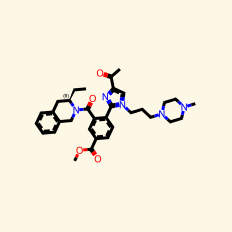 CC[C@@H]1Cc2ccccc2CN1C(=O)c1cc(C(=O)OC)ccc1-c1nc(C(C)=O)cn1CCCN1CCN(C)CC1